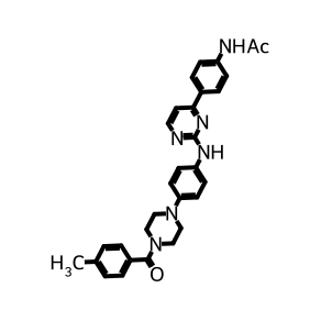 CC(=O)Nc1ccc(-c2ccnc(Nc3ccc(N4CCN(C(=O)c5ccc(C)cc5)CC4)cc3)n2)cc1